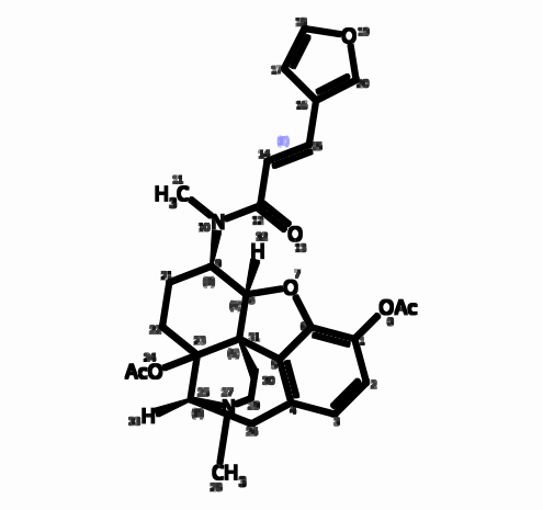 CC(=O)Oc1ccc2c3c1O[C@H]1[C@H](N(C)C(=O)/C=C/c4ccoc4)CCC4(OC(C)=O)[C@@H](C2)N(C)CC[C@]314